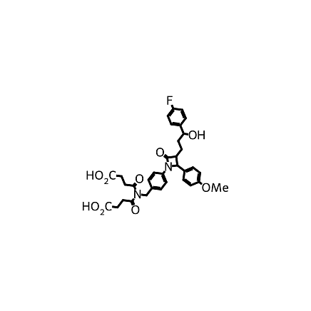 COc1ccc(C2C(CCC(O)c3ccc(F)cc3)C(=O)N2c2ccc(CN(C(=O)CCC(=O)O)C(=O)CCC(=O)O)cc2)cc1